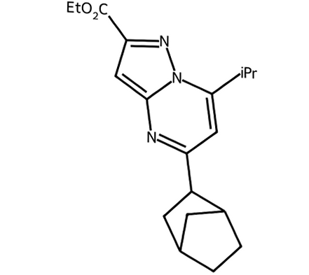 CCOC(=O)c1cc2nc(C3CC4CCC3C4)cc(C(C)C)n2n1